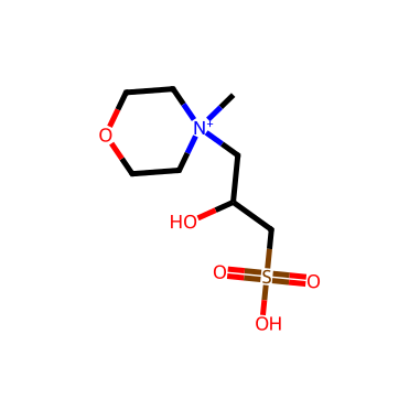 C[N+]1(CC(O)CS(=O)(=O)O)CCOCC1